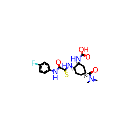 CN(C)C(=O)[C@H]1CC[C@H](NC(=S)C(=O)Nc2ccc(F)cc2)[C@H](NC(=O)O)C1